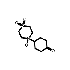 O=C1CCC([N+]2([O-])CCS(=O)(=O)CC2)CC1